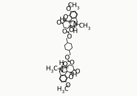 COc1ccc2c3c1O[C@H]1C(=O)CC[C@@]4(OC(=O)OCC5CCC(COC(=O)O[C@@]67CCC(=O)[C@@H]8Oc9c(OC)ccc%10c9[C@@]86CCN(C)[C@@H]7C%10)CC5)[C@@H](C2)N(C)CCC314